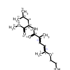 CCCO/C(C)=C/C=C(\C)C(=O)N[C@H](CC(C)C)C(=O)OC